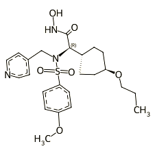 CCCO[C@H]1CC[C@H]([C@H](C(=O)NO)N(Cc2ccncc2)S(=O)(=O)c2ccc(OC)cc2)CC1